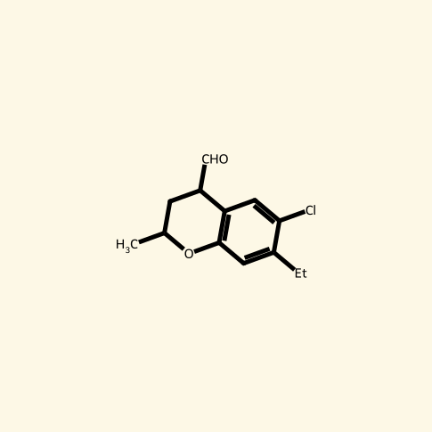 CCc1cc2c(cc1Cl)C(C=O)CC(C)O2